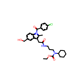 CCOC(=O)N(CCCNC(=O)Cc1c(C)n(C(=O)c2ccc(Cl)cc2)c2ccc(CO)cc12)C1CCCCC1